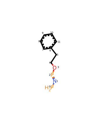 PN=POCCc1ccccc1